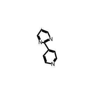 [c]1cnc(-c2ccncc2)nc1